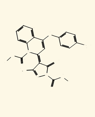 CCCC1=NN(C(=O)OC(C)(C)C)C(=O)C1=C1C=C(Sc2ccc(NC(C)=O)cc2)c2ccccc2N1C(=O)OC(C)(C)C